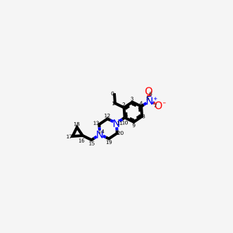 CCc1cc([N+](=O)[O-])ccc1N1CCN(CC2CC2)CC1